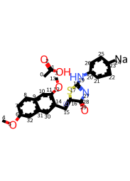 CC(=O)O.COc1ccc2cc(OC)c(/C=C3\SC(Nc4cc[c]([Na])cc4)=NC3=O)cc2c1